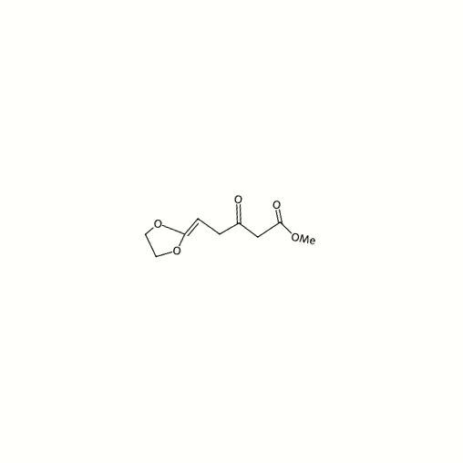 COC(=O)CC(=O)CC=C1OCCO1